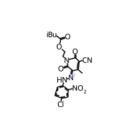 CCC(C)C(=O)OCCN1C(=O)C(C#N)=C(C)/C(=N/Nc2ccc(Cl)cc2[N+](=O)[O-])C1=O